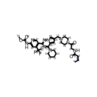 C/C=C\C(=O)NCC(=O)N1CCN(Cc2cc3c(N4CCCCC4)nc(-c4cnc(NC(=O)OC)cc4C(F)(F)F)nn3c2)CC1